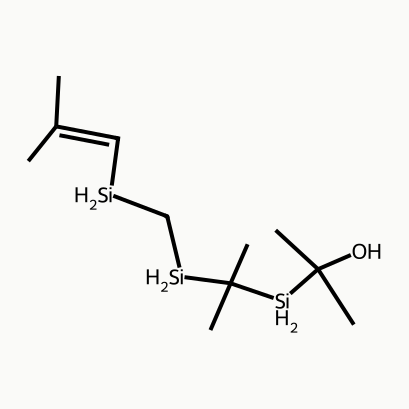 CC(C)=C[SiH2]C[SiH2]C(C)(C)[SiH2]C(C)(C)O